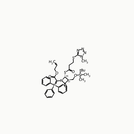 C=CCOC(=O)C(N1C(=O)[C@H](CO[Si](C)(C)C(C)(C)C)[C@H]1SC(=O)CCSc1nnnn1C)=P(c1ccccc1)(c1ccccc1)c1ccccc1